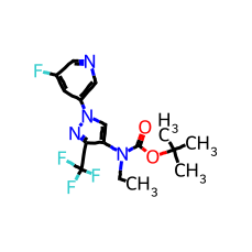 CCN(C(=O)OC(C)(C)C)c1cn(-c2cncc(F)c2)nc1C(F)(F)F